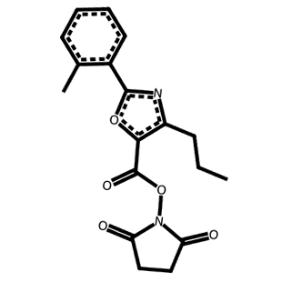 CCCc1nc(-c2ccccc2C)oc1C(=O)ON1C(=O)CCC1=O